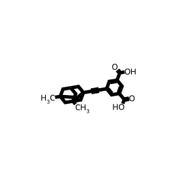 CC12CC3CC(C)(C1)CC(C#Cc1cc(C(=O)O)cc(C(=O)O)c1)(C3)C2